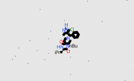 CCCCN1C(=O)[C@H](CC(C)C)NC(=O)C12CCN(C(c1ccccc1)c1c(C)n[nH]c1Cl)CC2